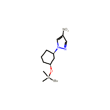 CC(C)(C)[Si](C)(C)O[C@H]1CCC[C@@H](n2cc([N+](=O)[O-])cn2)C1